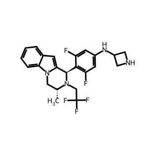 C[C@@H]1Cn2c(cc3ccccc32)[C@@H](c2c(F)cc(NC3CNC3)cc2F)N1CC(F)(F)F